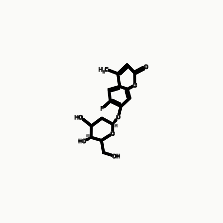 Cc1cc(=O)oc2cc(O[C@@H]3CC(O)[C@H](O)C(CO)O3)c(F)cc12